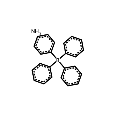 N.c1ccc([B-](c2ccccc2)(c2ccccc2)c2ccccc2)cc1